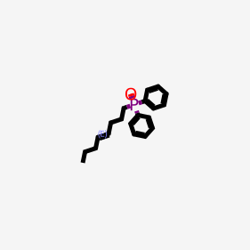 CCC/C=C/CCCP(=O)(c1ccccc1)c1ccccc1